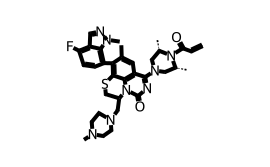 C=CC(=O)N1[C@H](C)CN(c2nc(=O)n3c4c(c(-c5ccc(F)c6cnn(C)c56)c(C)cc24)SCC3CN2CCN(C)CC2)C[C@@H]1C